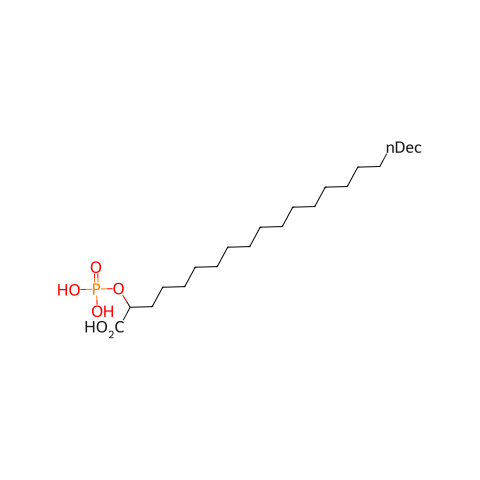 CCCCCCCCCCCCCCCCCCCCCCCCCC(OP(=O)(O)O)C(=O)O